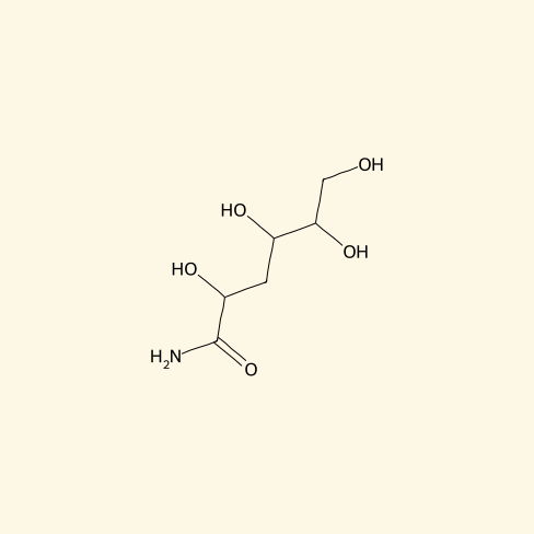 NC(=O)C(O)CC(O)C(O)CO